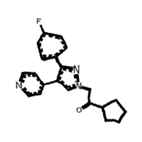 O=C(Cn1cc(-c2ccncc2)c(-c2ccc(F)cc2)n1)C1CCCC1